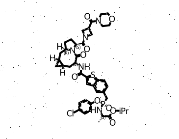 CC(C)OC(=O)[C@H](C)NP(=O)(Cc1ccc2sc(C(=O)N[C@H]3C[C@@H]4C[C@@H]4C[C@H]4CC[C@@H](C(=O)N5CC(C(=O)N6CCOCC6)C5)N4C3=O)cc2c1)Oc1ccc(Cl)cc1